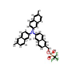 Cc1ccc2cc(N(c3ccc4cc(C)ccc4c3)c3ccc4cc(COS(=O)(=O)C(F)(F)F)ccc4c3)ccc2c1